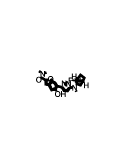 CN(C)C(=O)c1cc2cc(O)c(-c3ccc(N(C)[C@@H]4C[C@H]5CC[C@H](C5)[C@@H]4F)nn3)cc2o1